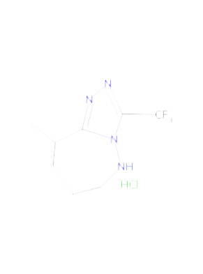 CC1CCCNn2c1nnc2C(F)(F)F.Cl